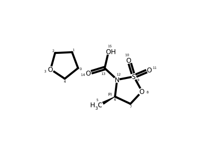 C1CCOC1.C[C@@H]1COS(=O)(=O)N1C(=O)O